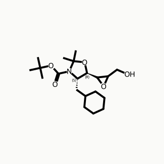 CC(C)(C)OC(=O)N1[C@@H](CC2CCCCC2)[C@H](C2OC2CO)OC1(C)C